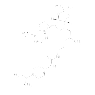 CC(C)c1ccc(NC(=O)NCCCN(C)C[C@H]2O[C@@H](n3cnc4c(N)ncnc43)[C@@H]3OC(C)(C)O[C@@H]32)cc1